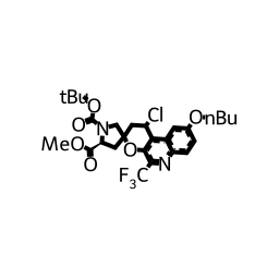 CCCCOc1ccc2nc(C(F)(F)F)c3c(c2c1)C(Cl)CC1(C[C@@H](C(=O)OC)N(C(=O)OC(C)(C)C)C1)O3